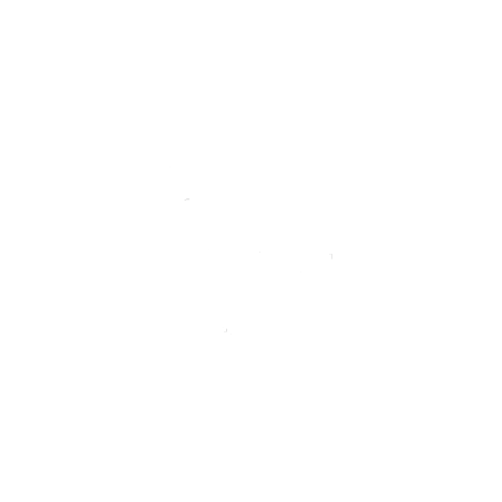 CC(C)c1sc(C(C)(C)C)c2c1CC1C(=O)CC21